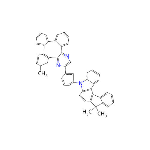 CC1C=CC2=C(C1)c1nc(-c3cccc(-n4c5ccccc5c5c6c(ccc54)C(C)(C)c4ccccc4-6)c3)cnc1-c1ccccc1-c1ccccc12